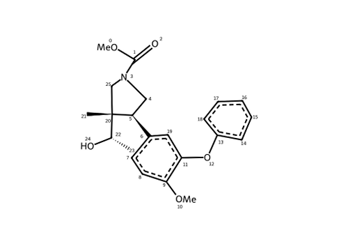 COC(=O)N1C[C@@H](c2ccc(OC)c(Oc3ccccc3)c2)[C@](C)([C@H](C)O)C1